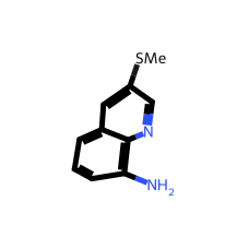 CSc1cnc2c(N)cccc2c1